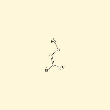 [CH2]C(=CCO)CC